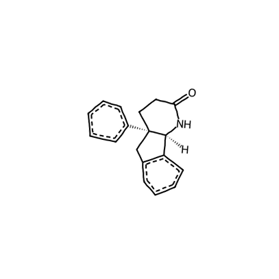 O=C1CC[C@]2(c3ccccc3)Cc3ccccc3[C@@H]2N1